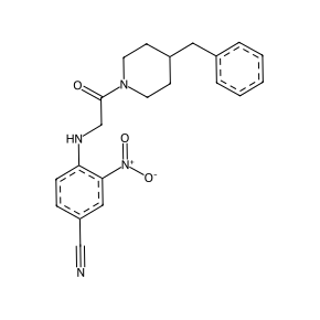 N#Cc1ccc(NCC(=O)N2CCC(Cc3ccccc3)CC2)c([N+](=O)[O-])c1